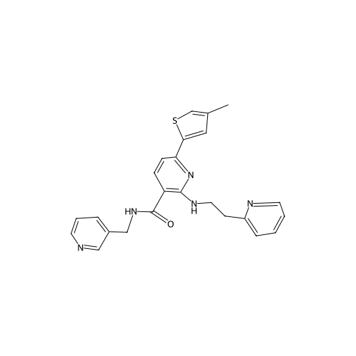 Cc1csc(-c2ccc(C(=O)NCc3cccnc3)c(NCCc3ccccn3)n2)c1